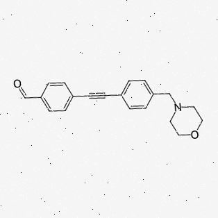 O=[C]c1ccc(C#Cc2ccc(CN3CCOCC3)cc2)cc1